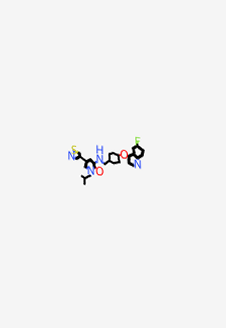 CC(C)Cn1cc(-c2cnsc2)cc(NCC2CCC(Oc3ccnc4ccc(F)cc34)CC2)c1=O